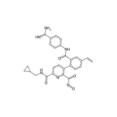 C=Cc1ccc(-c2ccc(C(=O)NCC3CC3)nc2C(=O)N=O)c(C(=O)Nc2ccc(C(=N)N)cc2)c1